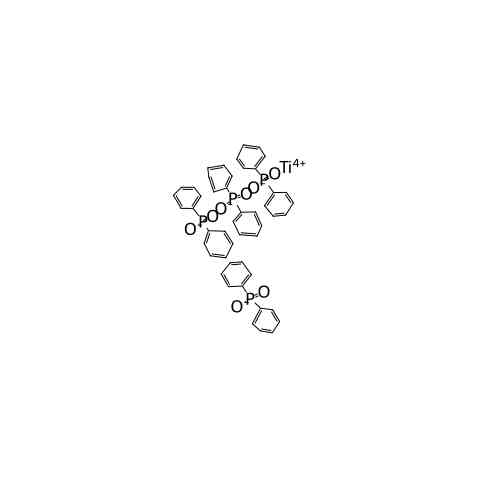 O=P([O-])(c1ccccc1)c1ccccc1.O=P([O-])(c1ccccc1)c1ccccc1.O=P([O-])(c1ccccc1)c1ccccc1.O=P([O-])(c1ccccc1)c1ccccc1.[Ti+4]